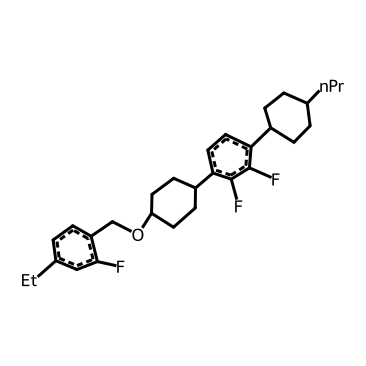 CCCC1CCC(c2ccc(C3CCC(OCc4ccc(CC)cc4F)CC3)c(F)c2F)CC1